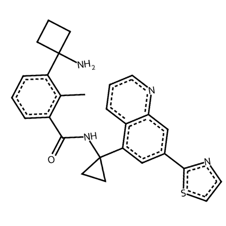 Cc1c(C(=O)NC2(c3cc(-c4nccs4)cc4ncccc34)CC2)cccc1C1(N)CCC1